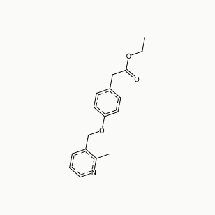 CCOC(=O)Cc1ccc(OCc2cccnc2C)cc1